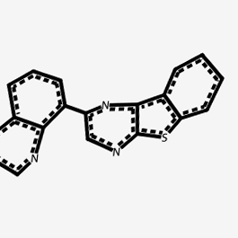 c1cnc2c(-c3cnc4sc5ccccc5c4n3)cccc2c1